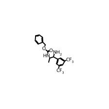 CC(NC(=O)OCc1ccccc1)C(N)c1cc(C(F)(F)F)cc(C(F)(F)F)c1